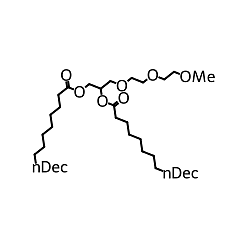 CCCCCCCCCCCCCCCCCC(=O)OCC(COCCOCCOC)OC(=O)CCCCCCCCCCCCCCCCC